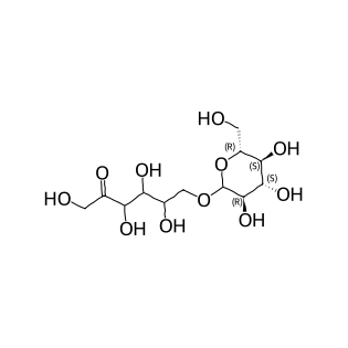 O=C(CO)C(O)C(O)C(O)COC1O[C@H](CO)[C@@H](O)[C@H](O)[C@H]1O